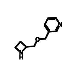 c1cncc(COCC2CCN2)c1